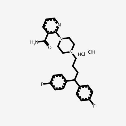 Cl.Cl.NC(=O)c1cccnc1N1CCN(CCCC(c2ccc(F)cc2)c2ccc(F)cc2)CC1